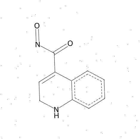 O=NC(=O)C1=CCNc2ccccc21